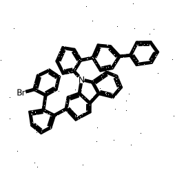 Brc1ccccc1-c1ccccc1-c1ccc2c3ccccc3n(-c3ccccc3-c3ccc(-c4ccccc4)cc3)c2c1